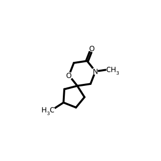 CC1CCC2(C1)CN(C)C(=O)CO2